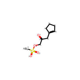 CCCCS(=O)(=O)OCC(=O)CC1=CCCC1